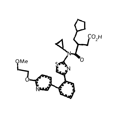 COCCOc1ccc(-c2ccccc2-c2csc(N(C(=O)C(CC(=O)O)CC3CCCC3)C3CC3)n2)cn1